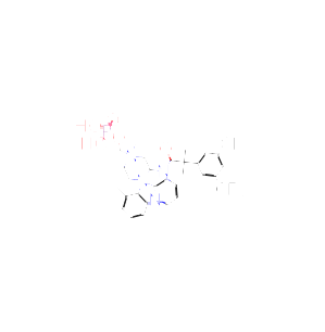 Cc1ccccc1[N+]1(c2ccccn2)CC[N+](C)(COP(=O)(O)O)CC1N(C)C(=O)C(C)(C)c1cc(C(F)(F)F)cc(C(F)(F)F)c1